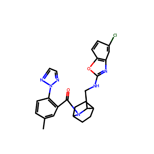 Cc1ccc(-n2nccn2)c(C(=O)N2C3CCC(CC3)C2CNc2nc3cc(Cl)ccc3o2)c1